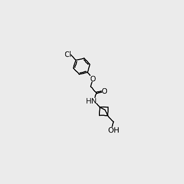 O=C(COc1ccc(Cl)cc1)NC12CC(CO)(C1)C2